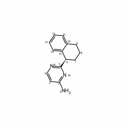 Nc1ccnc([C@@H]2CCCc3ccccc32)n1